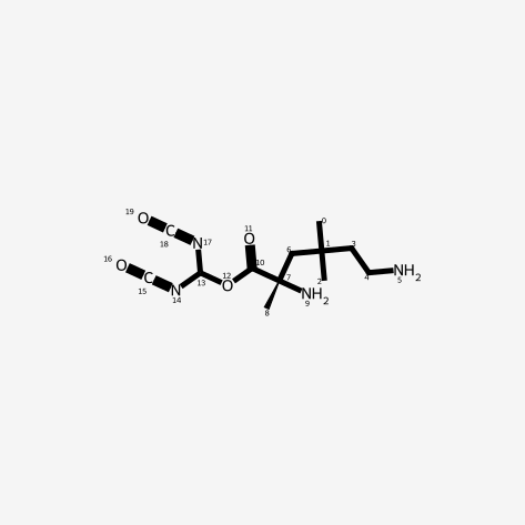 CC(C)(CCN)C[C@](C)(N)C(=O)OC(N=C=O)N=C=O